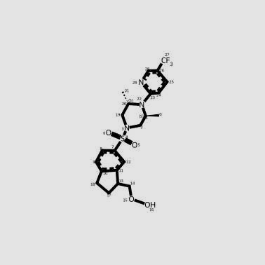 C[C@H]1CN(S(=O)(=O)c2ccc3c(c2)C(COO)CC3)C[C@H](C)N1c1ccc(C(F)(F)F)cn1